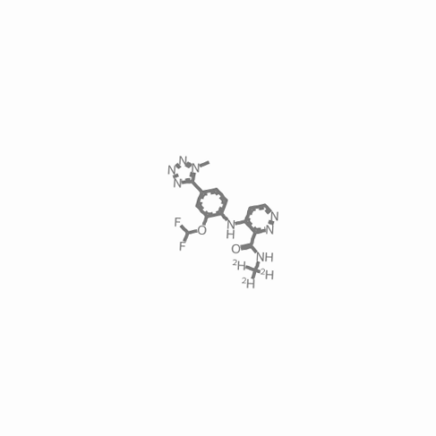 [2H]C([2H])([2H])NC(=O)c1nnccc1Nc1ccc(-c2nnnn2C)cc1OC(F)F